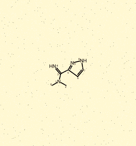 CN(C)C(=N)c1cc[nH]n1